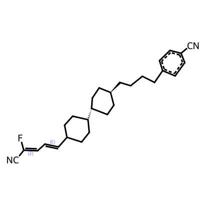 N#C/C(F)=C/C=C/C1CCC([C@H]2CC[C@H](CCCCc3ccc(C#N)cc3)CC2)CC1